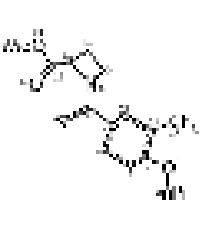 CCCOc1ccc(C(=S)N2CC[C@@H]2C(=O)OC)cc1C(F)(F)F